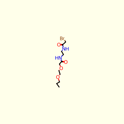 CCCOCCOCC(=O)NCCNC(=O)CBr